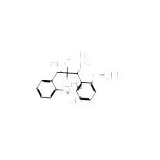 COc1ccccc1CC(C)(C)C(P)c1ccccc1OC